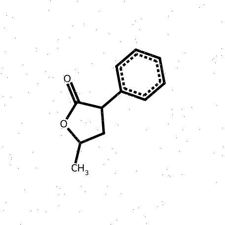 CC1CC(c2ccccc2)C(=O)O1